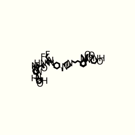 CC([C@H]1CC[C@H](n2cc(NC(=O)c3cnn4ccc(N5C[C@H]6C[C@@H]5CO6)nc34)c(C(F)F)n2)CC1)N1CCN(CCCc2cccc3c2n(C)c(=O)n3C2CCC(=O)NC2=O)CC1